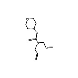 C=CCN(CC=C)C(=O)ON1CCNCC1